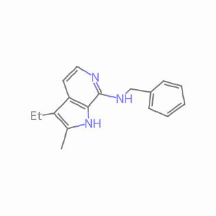 CCc1c(C)[nH]c2c(NCc3ccccc3)nccc12